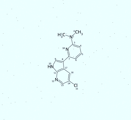 CN(C)c1cccc(-c2c[nH]c3ncc(Cl)cc23)n1